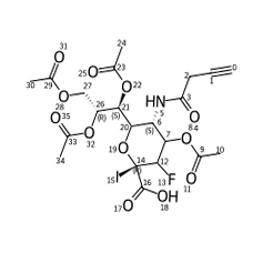 C#CCC(=O)N[C@@H]1C(OC(C)=O)C(F)[C@](I)(C(=O)O)OC1[C@H](OC(C)=O)[C@@H](COC(C)=O)OC(C)=O